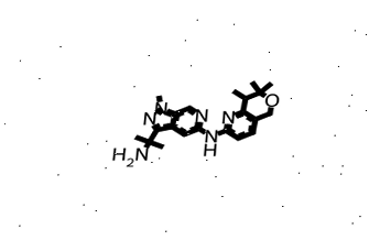 CC1c2nc(Nc3cc4c(C(C)(C)N)nn(C)c4cn3)ccc2COC1(C)C